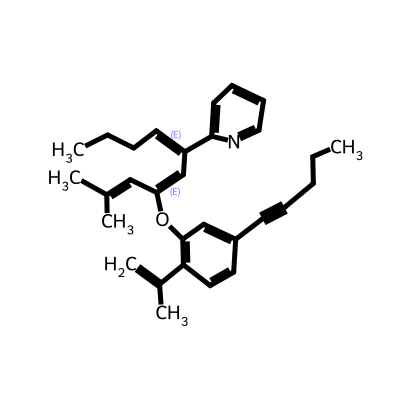 C=C(C)c1ccc(C#CCCC)cc1O/C(C=C(C)C)=C/C(=C\CCC)c1ccccn1